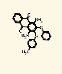 Cc1ccc(Oc2c(N)c3c(c(N)c2Oc2ccccc2)C(=O)c2ccccc2C3=O)cc1